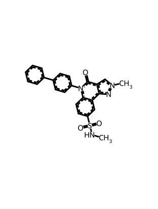 CNS(=O)(=O)c1ccc2c(c1)c1nn(C)cc1c(=O)n2-c1ccc(-c2ccccc2)cc1